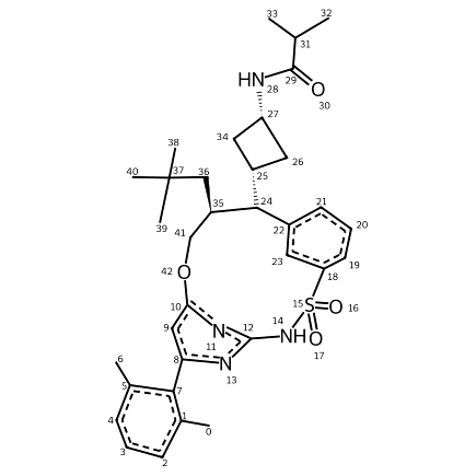 Cc1cccc(C)c1-c1cc2nc(n1)NS(=O)(=O)c1cccc(c1)C([C@H]1C[C@@H](NC(=O)C(C)C)C1)[C@H](CC(C)(C)C)CO2